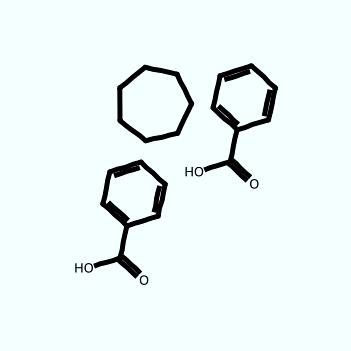 C1CCCCCC1.O=C(O)c1ccccc1.O=C(O)c1ccccc1